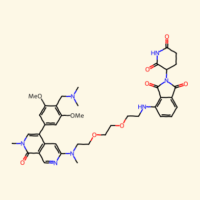 COc1cc(-c2cn(C)c(=O)c3cnc(N(C)CCOCCOCCNc4cccc5c4C(=O)N(C4CCC(=O)NC4=O)C5=O)cc23)cc(OC)c1CN(C)C